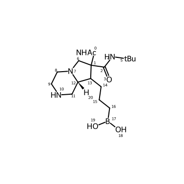 CC(=O)NC1(C(=O)NC(C)(C)C)CN2CCNC[C@H]2C1CCCB(O)O